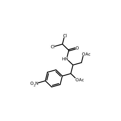 CC(=O)OCC(NC(=O)C(Cl)Cl)C(OC(C)=O)c1ccc([N+](=O)[O-])cc1